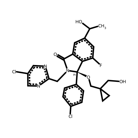 CC(O)c1cc(F)c2c(c1)C(=O)N(Cc1ncc(Cl)cn1)[C@@]2(OCC1(CO)CC1)c1ccc(Cl)cc1